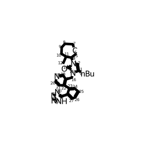 CCCCc1cn(C2CCCCCCC2C)c(=O)n1Cc1cnccc1-c1ccccc1-c1nnn[nH]1